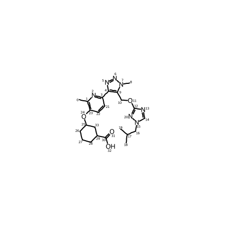 Cc1nc(-c2nnn(C)c2COc2ncn(CC(C)C)n2)ccc1OC1CCCC(C(=O)O)C1